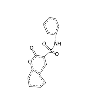 O=c1oc2ccccc2cc1S(=O)(=O)Nc1ccccc1